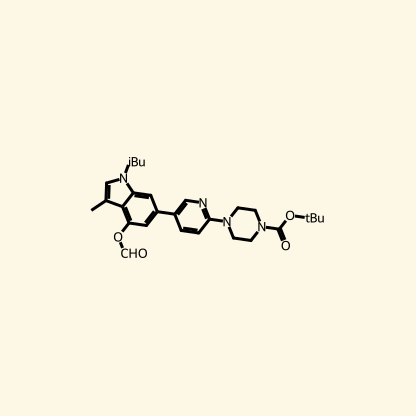 CCC(C)n1cc(C)c2c(OC=O)cc(-c3ccc(N4CCN(C(=O)OC(C)(C)C)CC4)nc3)cc21